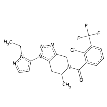 CCn1nccc1-n1nnc2c1CC(C)N(C(=O)c1cccc(C(F)(F)F)c1Cl)C2